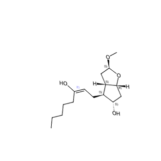 CCCCC/C(O)=C\C[C@H]1[C@@H]2C[C@@H](OC)O[C@@H]2C[C@@H]1O